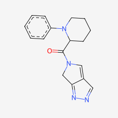 O=C(C1CCCCN1c1ccccc1)N1C=C2C=NN=C2C1